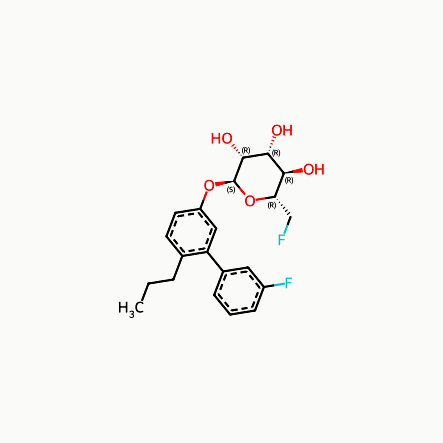 CCCc1ccc(O[C@@H]2O[C@@H](CF)[C@H](O)[C@@H](O)[C@H]2O)cc1-c1cccc(F)c1